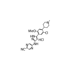 COc1cc(C2CCN(C)CC2)c(Cl)cc1-c1cc(Nc2cnc(C#N)cn2)n[nH]1.Cl